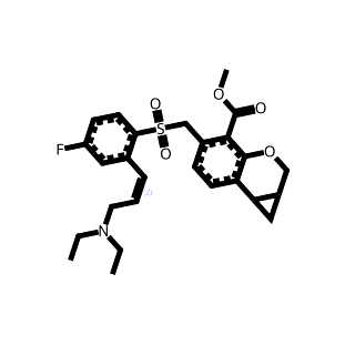 CCN(CC)C/C=C\c1cc(F)ccc1S(=O)(=O)Cc1ccc2c(c1C(=O)OC)OCC1CC21